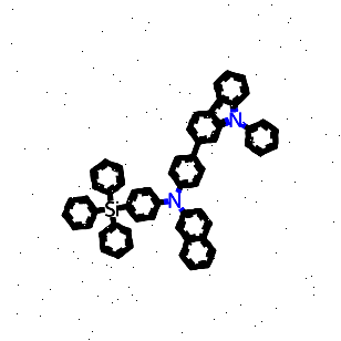 c1ccc(-n2c3ccccc3c3ccc(-c4ccc(N(c5ccc([Si](c6ccccc6)(c6ccccc6)c6ccccc6)cc5)c5ccc6ccccc6c5)cc4)cc32)cc1